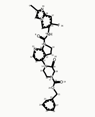 Cc1cn2cc(NC(=O)N3CCc4c(N5CCN(C(=O)OCc6ccccc6)CC5=O)ccnc43)c(F)cc2n1